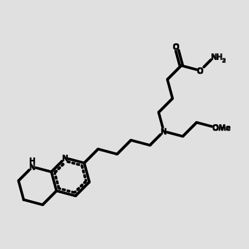 COCCN(CCCCc1ccc2c(n1)NCCC2)CCCC(=O)ON